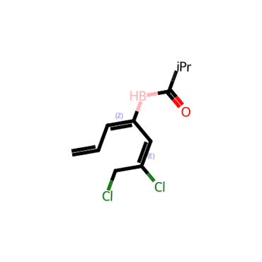 C=C/C=C(BC(=O)C(C)C)\C=C(\Cl)CCl